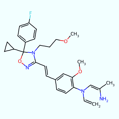 C=CN(/C=C(/C)N)c1ccc(/C=C/C2=NOC(c3ccc(F)cc3)(C3CC3)N2CCCOC)cc1OC